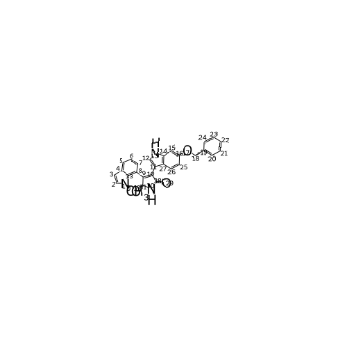 Cn1ccc2cccc(C3=C(c4c[nH]c5cc(OCc6ccccc6)ccc45)C(=O)NC3=O)c21